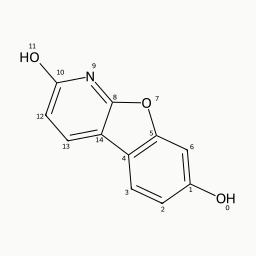 Oc1ccc2c(c1)oc1nc(O)ccc12